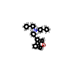 c1ccc(-c2ccc(N(c3cccc(-c4ccccc4)c3)c3cccc(-c4ccc5c(c4)-c4ccccc4C54c5ccccc5Oc5ccccc54)c3)cc2)cc1